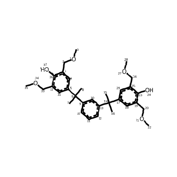 COCc1cc(C(C)(C)c2cccc(C(C)(C)c3cc(COC)c(O)c(COC)c3)c2)cc(COC)c1O